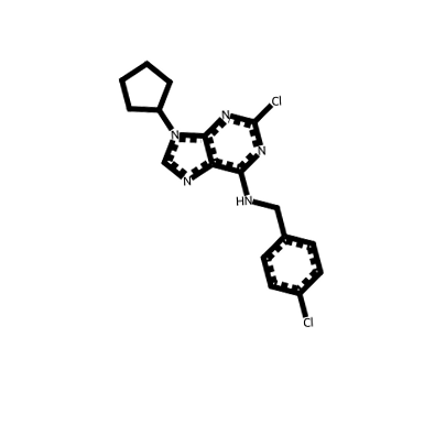 Clc1ccc(CNc2nc(Cl)nc3c2ncn3C2CCCC2)cc1